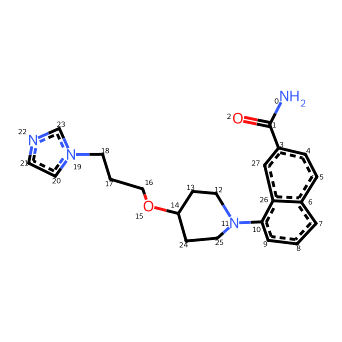 NC(=O)c1ccc2cccc(N3CCC(OCCCn4ccnc4)CC3)c2c1